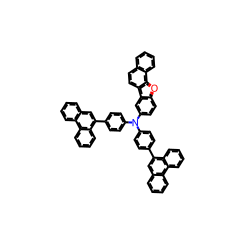 c1ccc2c(c1)cc(-c1ccc(N(c3ccc(-c4cc5ccccc5c5ccccc45)cc3)c3ccc4oc5c6ccccc6ccc5c4c3)cc1)c1ccccc12